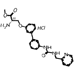 COC(=O)[C@@H](N)COc1cccc(-c2cccc(NC(=O)NCc3ccccn3)c2)c1.Cl